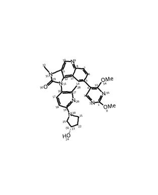 COc1ncc(-c2ccc3ncc4c(c3c2)n(-c2ccc(N3CC[C@H](O)C3)nc2C)c(=O)n4C)c(OC)n1